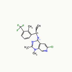 C#C[C@@H](/N=c1\nc(C)n(C)c2cnc(Cl)cc12)c1cccc(C(F)(F)F)c1C